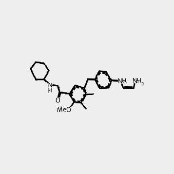 COc1c(C(=O)CNC2CCCCC2)cc(Cc2ccc(N/C=C\N)cc2)c(C)c1C